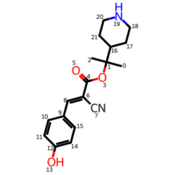 CC(C)(OC(=O)/C(C#N)=C/c1ccc(O)cc1)C1CCNCC1